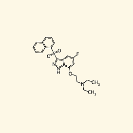 CCN(CC)CCOc1cc(F)cc2c(S(=O)(=O)c3cccc4ccccc34)n[nH]c12